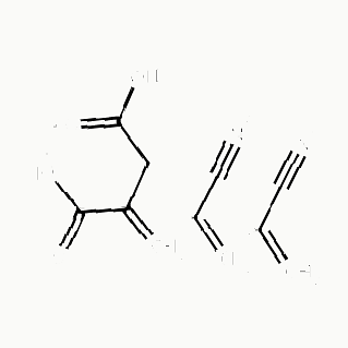 C=C(CC(=O)O)C(=O)O.C=CC#N.C=CC#N